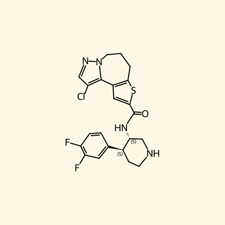 O=C(N[C@@H]1CNCC[C@H]1c1ccc(F)c(F)c1)c1cc2c(s1)CCCn1ncc(Cl)c1-2